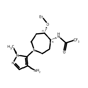 CCO[C@H]1CCN(c2c(N)cnn2C)CC[C@H]1NC(=O)C(F)(F)F